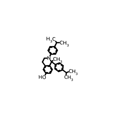 CC(C)c1ccc(N2CCc3cc(O)ccc3C2(C)c2ccc(C(C)C)cc2)cc1